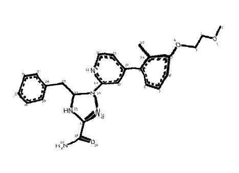 COCCOc1cccc(-c2ccnc(N3N=C(C(N)=O)NC3Cc3ccccc3)c2)c1C